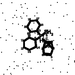 B[PH](C1=CC2C=CC1C2)(C1CCCCC1)C1CCCCC1